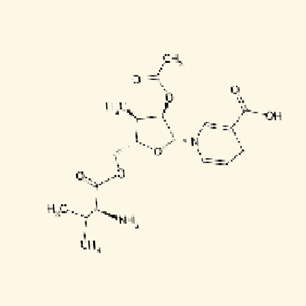 CC(=O)O[C@@H]1[C@H](C)[C@@H](COC(=O)[C@@H](N)C(C)C)O[C@H]1N1C=CCC(C(=O)O)=C1